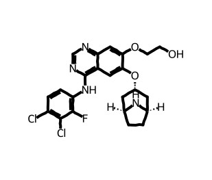 OCCOc1cc2ncnc(Nc3ccc(Cl)c(Cl)c3F)c2cc1O[C@@H]1C[C@H]2CC[C@@H](C1)N2